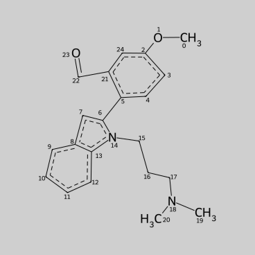 COc1ccc(-c2cc3ccccc3n2CCCN(C)C)c(C=O)c1